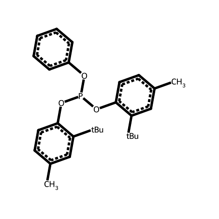 Cc1ccc(OP(Oc2ccccc2)Oc2ccc(C)cc2C(C)(C)C)c(C(C)(C)C)c1